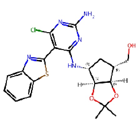 CC1(C)O[C@@H]2[C@@H](CO)C[C@@H](Nc3nc(N)nc(Cl)c3-c3nc4ccccc4s3)[C@@H]2O1